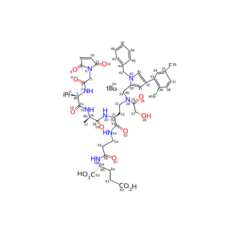 CC(C)[C@@H](NC(=O)CN1C(=O)C=CC1=O)C(=O)N[C@H](C)C(=O)N[C@@H](CCN(C(=O)CO)[C@@H](c1cc(-c2cc(F)ccc2F)cn1Cc1ccccc1)C(C)(C)C)C(=O)NCCC(=O)N[C@H](CCC(=O)O)C(=O)O